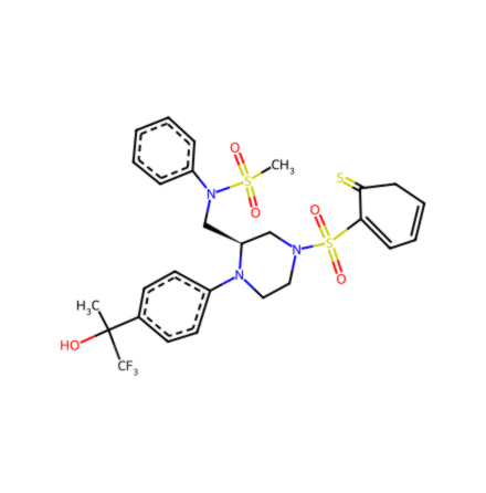 CC(O)(c1ccc(N2CCN(S(=O)(=O)C3=CC=CCC3=S)C[C@@H]2CN(c2ccccc2)S(C)(=O)=O)cc1)C(F)(F)F